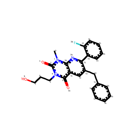 Cn1c(=O)n(CCCO)c(=O)c2cc(Cc3ccccc3)c(-c3ccccc3F)nc21